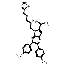 Cc1ccc(-c2nc3cc(C(C)C)n(CCCCCc4nnn[nH]4)c3nc2-c2ccc(C)cc2)cc1